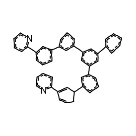 C1=CC(c2ccccn2)=CC(c2cccc(-c3cc(-c4ccccc4)cc(-c4cccc(-c5cccc(-c6ccccn6)c5)c4)c3)c2)C1